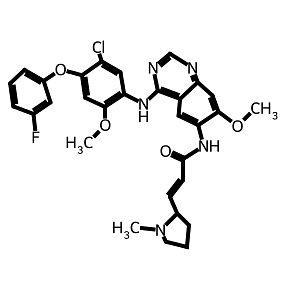 COc1cc2ncnc(Nc3cc(Cl)c(Oc4cccc(F)c4)cc3OC)c2cc1NC(=O)/C=C/C1CCCN1C